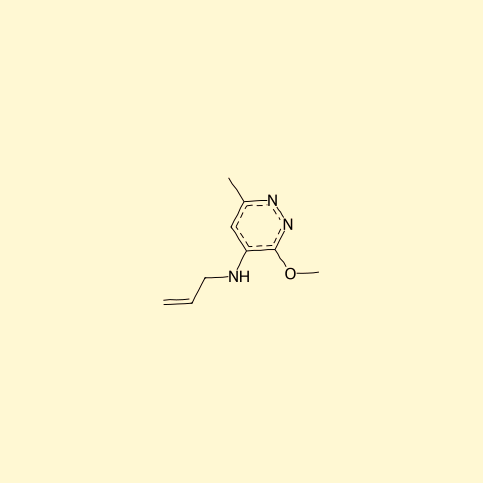 C=CCNc1cc(C)nnc1OC